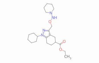 CCOC(=O)C1CCc2c(c(CONN3CCCCC3)nn2C2CCCCC2)C1